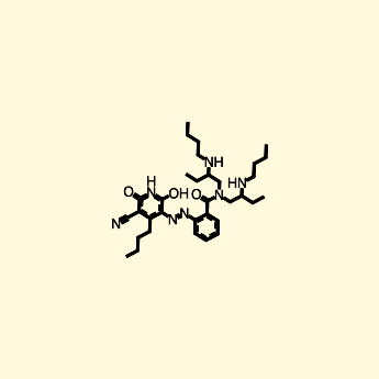 CCCCNC(CC)CN(CC(CC)NCCCC)C(=O)c1ccccc1/N=N/c1c(O)[nH]c(=O)c(C#N)c1CCCC